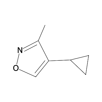 Cc1nocc1C1CC1